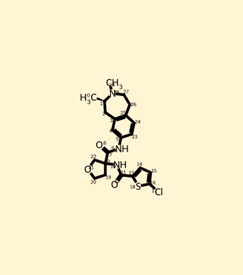 C[C@@H]1Cc2cc(NC(=O)C3(NC(=O)c4ccc(Cl)s4)CCOC3)ccc2CCN1C